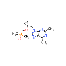 Cc1nc(C)c2ncn(CC3(OCP(C)(C)=O)CC3)c2n1